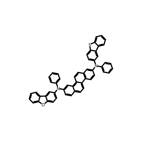 c1ccc(N(c2ccc3ccc4c5ccc(N(c6ccccc6)c6ccc7sc8ccccc8c7c6)cc5ccc4c3c2)c2ccc3oc4ccccc4c3c2)cc1